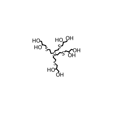 OCC(O)CSCC[Si](CCSCC(O)CO)(CCSCC(O)CO)CCSCC(O)CO